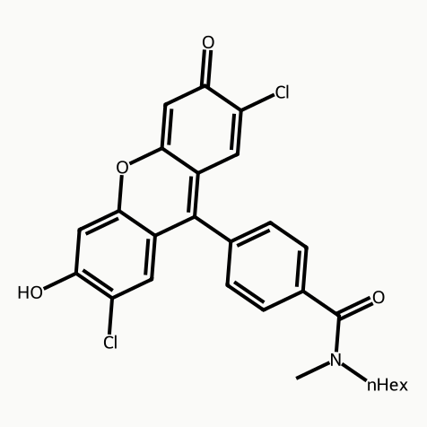 CCCCCCN(C)C(=O)c1ccc(-c2c3cc(Cl)c(=O)cc-3oc3cc(O)c(Cl)cc23)cc1